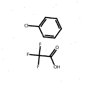 Clc1ccccc1.O=C(O)C(F)(F)F